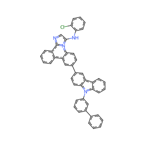 Clc1ccccc1Nc1cnc2c3ccccc3c3cc(-c4ccc5c(c4)c4ccccc4n5-c4cccc(-c5ccccc5)c4)ccc3n12